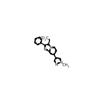 Cn1cc(-c2ccn3c(CC(=O)O)c(-c4ccccc4)nc3c2)cn1